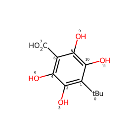 CC(C)(C)c1c(O)c(O)c(C(=O)O)c(O)c1O